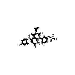 CCS(=O)(=O)Nc1cccc(-n2c(=O)n(C3CC3)c(=O)c3c(Nc4ccc(Br)cc4F)cc(=O)n(C)c32)c1